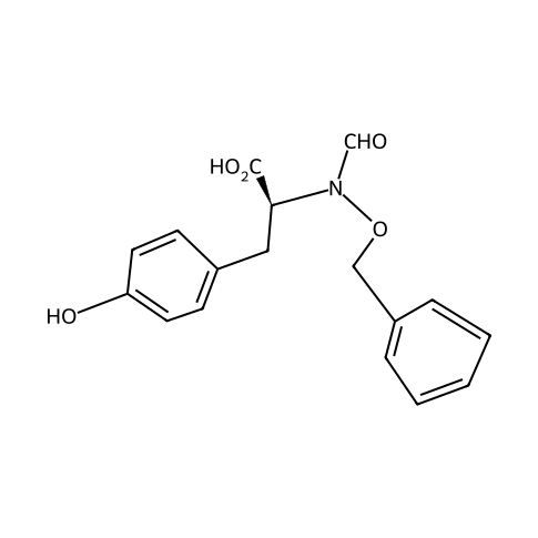 O=CN(OCc1ccccc1)[C@@H](Cc1ccc(O)cc1)C(=O)O